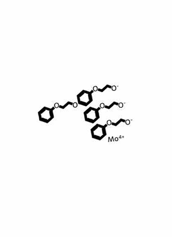 [Mo+4].[O-]CCOc1ccccc1.[O-]CCOc1ccccc1.[O-]CCOc1ccccc1.[O-]CCOc1ccccc1